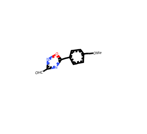 COc1ccc(-c2nc(C=O)no2)cc1